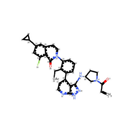 C=CC(=O)N1CC[C@@H](Nc2n[nH]c3nccc(-c4cccc(-n5ccc6cc(C7CC7)cc(F)c6c5=O)c4COC(C)=O)c23)C1